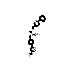 CON(Cc1ccc(-c2noc(C(F)(F)F)n2)cc1)C(=O)OCc1ccc(-c2ccccc2)nc1